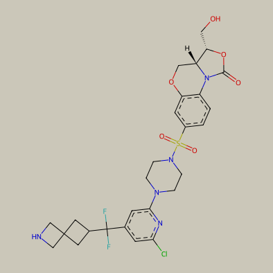 O=C1O[C@@H](CO)[C@H]2COc3cc(S(=O)(=O)N4CCN(c5cc(C(F)(F)C6CC7(CNC7)C6)cc(Cl)n5)CC4)ccc3N12